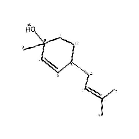 CC(C)=CC[C@@H]1C=CC(C)(O)CC1